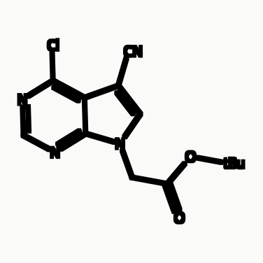 CC(C)(C)OC(=O)Cn1cc(C#N)c2c(Cl)ncnc21